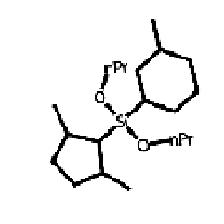 CCCO[Si](OCCC)(C1CCCC(C)C1)C1C(C)CCC1C